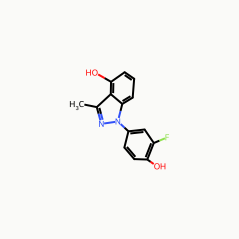 Cc1nn(-c2ccc(O)c(F)c2)c2cccc(O)c12